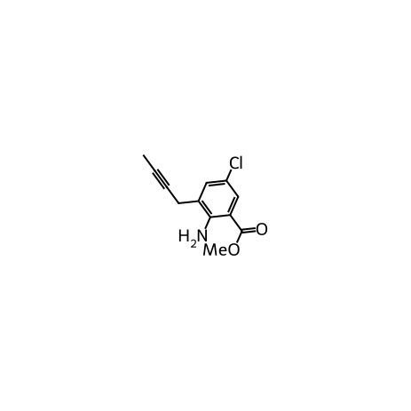 CC#CCc1cc(Cl)cc(C(=O)OC)c1N